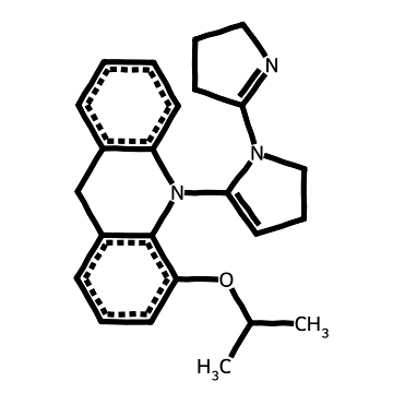 CC(C)Oc1cccc2c1N(C1=CCCN1C1=NCCC1)c1ccccc1C2